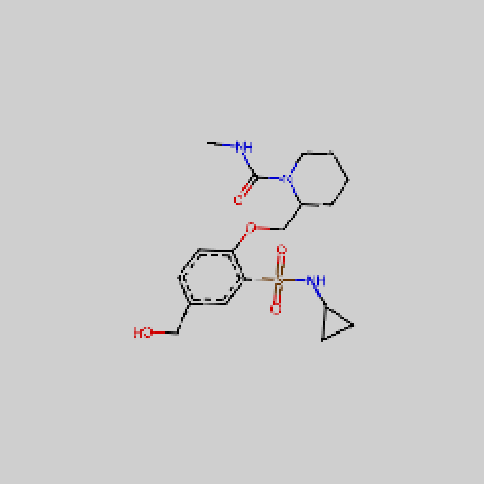 CNC(=O)N1CCCCC1COc1ccc(CO)cc1S(=O)(=O)NC1CC1